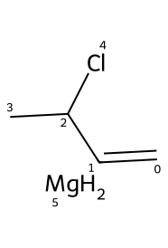 C=CC(C)Cl.[MgH2]